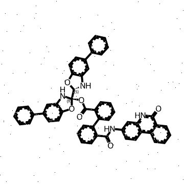 O=C(Nc1ccc2c(c1)[nH]c(=O)c1ccccc12)c1ccccc1-c1ccccc1C(=O)O[C@]1([C@H]2Nc3cc(-c4ccccc4)ccc3O2)Nc2cc(-c3ccccc3)ccc2O1